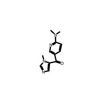 CN(C)c1ccc(C(=O)c2cncn2C)cn1